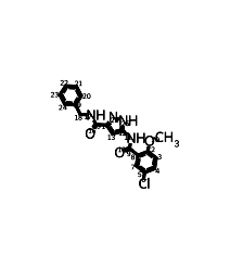 COc1ccc(Cl)cc1C(=O)Nc1cc(C(=O)NCc2ccccc2)n[nH]1